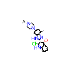 CC(=O)N1CCN(c2cc(C)c3nc(-c4c(Cl)[nH]c5ccccc5c4=O)[nH]c3c2)CC1